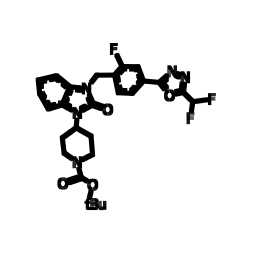 CC(C)(C)OC(=O)N1CCC(n2c(=O)n(Cc3ccc(-c4nnc(C(F)F)o4)cc3F)c3ccccc32)CC1